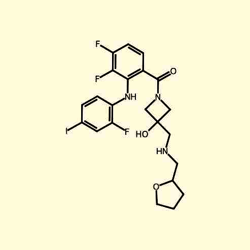 O=C(c1ccc(F)c(F)c1Nc1ccc(I)cc1F)N1CC(O)(CNCC2CCCO2)C1